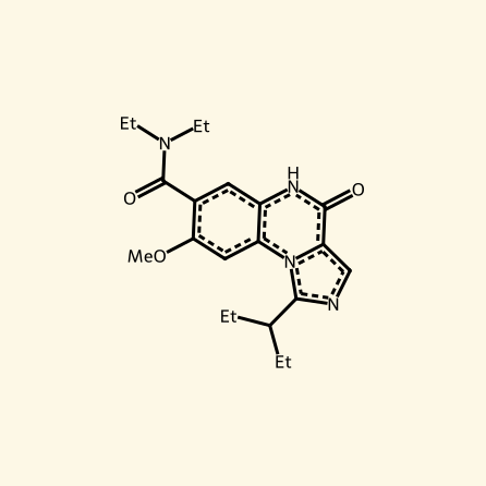 CCC(CC)c1ncc2c(=O)[nH]c3cc(C(=O)N(CC)CC)c(OC)cc3n12